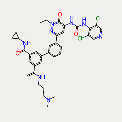 C=C(NCCCN(C)C)c1cc(C(=O)NC2CC2)cc(-c2cccc(-c3cc(NC(=O)Nc4c(Cl)cncc4Cl)c(=O)n(CC)n3)c2)c1